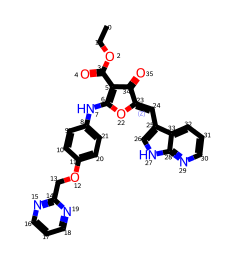 CCOC(=O)C1=C(Nc2ccc(OCc3ncccn3)cc2)O/C(=C\c2c[nH]c3ncccc23)C1=O